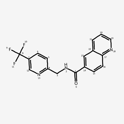 O=C(NCc1ccc(C(F)(F)F)cn1)c1ccc2ncccc2c1